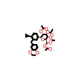 CC(=O)OC[C@H]1O[C@@H](c2ccc(C3CC3)c(Cc3ccc4c(c3)OCCO4)c2)[C@H](OC(C)=O)[C@@H](OC(C)=O)[C@@H]1OC(C)=O